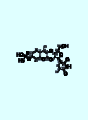 Cc1cn([C@H]2C[C@H](Oc3c(C)c4ccc(OP(O)(=S)S)cc4oc3=O)[C@@H](CO)O2)c(=O)[nH]c1=O